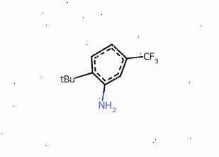 CC(C)(C)c1ccc(C(F)(F)F)cc1N